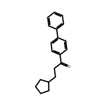 O=C(CCC1CCCC1)c1ccc(-c2ccccc2)cc1